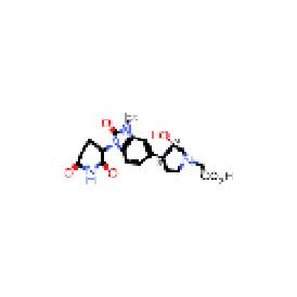 CCn1c(=O)n(C2CCC(=O)NC2=O)c2ccc([C@@H]3CCN(CC(=O)O)C[C@H]3O)cc21